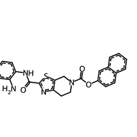 Nc1ccccc1NC(=O)c1nc2c(s1)CN(C(=O)Oc1ccc3ccccc3c1)CC2